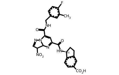 Cc1cc(CNC(=O)C2=CC(C(=O)N[C@H]3CCc4cc(C(=O)O)ccc43)=NC3C([N+](=O)[O-])C=NN23)ccc1F